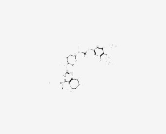 COc1cc(CC(=O)NC2CCC(Nc3nc4c(c(N(C)C)n3)CCCC4)CC2)cc(OC)c1O